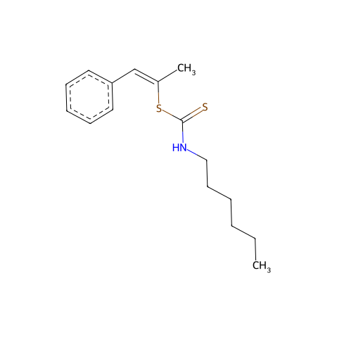 CCCCCCNC(=S)SC(C)=Cc1ccccc1